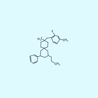 CCCC1CC(c2ccccc2)CC2(CCC(C)(Cc3ccc(C)cc3F)CC2)C1